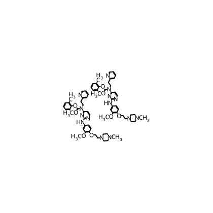 COc1cc(Nc2nccc(N(CCc3ccccn3)C(=O)Oc3c(C)cccc3C)n2)ccc1OCCN1CCN(C)CC1.COc1cc(Nc2nccc(N(CCc3ccccn3)C(=O)Oc3c(C)cccc3C)n2)ccc1OCCN1CCN(C)CC1